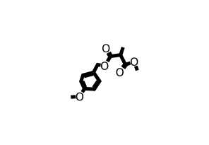 COC(=O)C(C)C(=O)OCc1ccc(OC)cc1